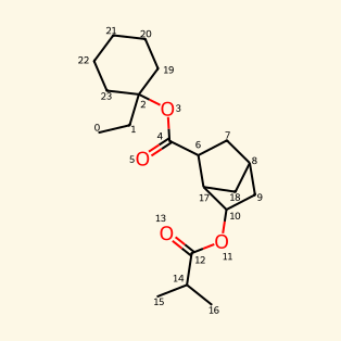 CCC1(OC(=O)C2CC3CC(OC(=O)C(C)C)C2C3)CCCCC1